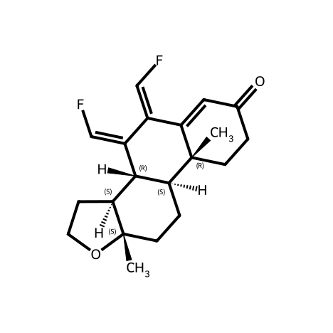 C[C@]12CCC(=O)C=C1C(=CF)C(=CF)[C@@H]1[C@@H]2CC[C@]2(C)OCC[C@@H]12